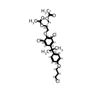 CC(=O)OC[C@H](COc1c(Cl)cc(C(C)(C)c2ccc(OCCCCl)cc2)cc1Cl)OC(C)=O